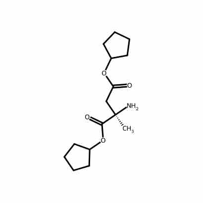 C[C@@](N)(CC(=O)OC1CCCC1)C(=O)OC1CCCC1